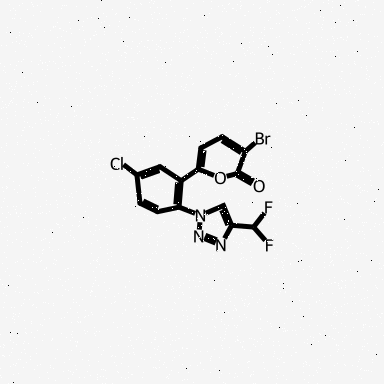 O=c1oc(-c2cc(Cl)ccc2-n2cc(C(F)F)nn2)ccc1Br